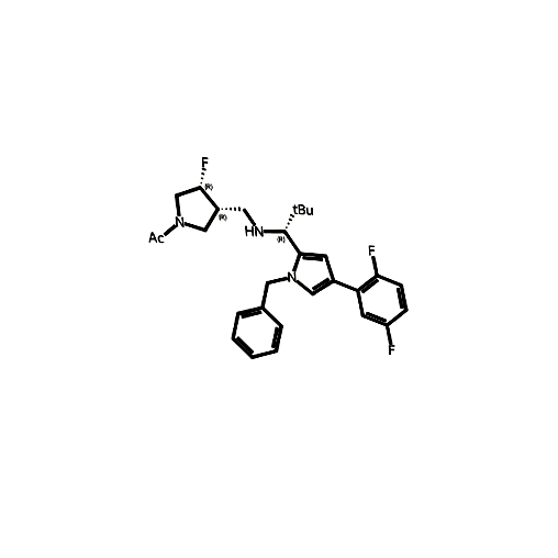 CC(=O)N1C[C@@H](CN[C@@H](c2cc(-c3cc(F)ccc3F)cn2Cc2ccccc2)C(C)(C)C)[C@@H](F)C1